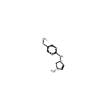 CSc1cnc(N[C@H]2C=C[C@H](N)C2)nc1